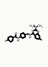 CN(C)c1nc(NCc2ccc(NC(=O)c3ccc(F)cc3)cc2)c2ccc(I)cc2n1